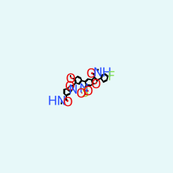 CNC(=O)c1ccc2oc(-c3cc(-c4cc5c(C(=O)NC)c(-c6ccc(F)cc6)oc5cc4N(C)S(C)(=O)=O)ccc3OC)nc2c1